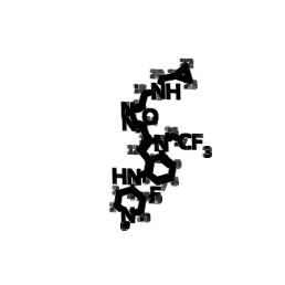 CN1CC[C@H](Nc2cccc3c2cc(-c2nnc(CNCC4CC4)o2)n3CC(F)(F)F)[C@H](F)C1